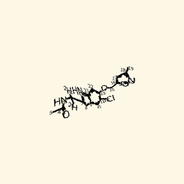 [2H]C([2H])(NC(C)=O)c1cc2cc(Cl)c(OCc3cc(C)no3)cc2[nH]1